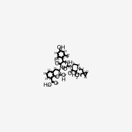 NC1(CN2CCN(C(=O)NC(C(=O)N[C@H]3Cc4cccc(C(=O)O)c4OB3O)c3c(F)cc(O)cc3F)C(=O)C2=O)CC1